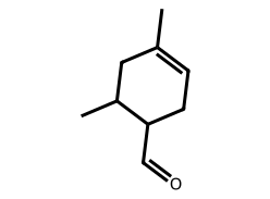 CC1=CCC(C=O)C(C)C1